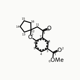 COC(=O)c1ccc2c(c1)C(=O)CC1(CCCC1)O2